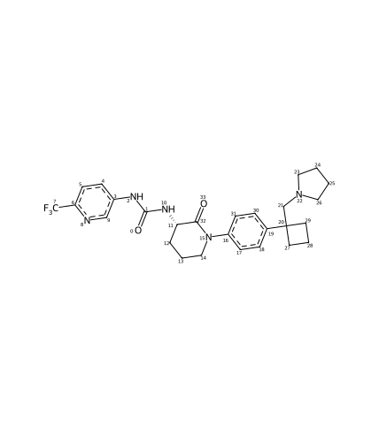 O=C(Nc1ccc(C(F)(F)F)nc1)N[C@H]1CCCN(c2ccc(C3(CN4CCCC4)CCC3)cc2)C1=O